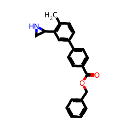 Cc1ccc(-c2ccc(C(=O)OCc3ccccc3)cc2)cc1C1CN1